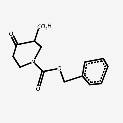 O=C(O)C1CN(C(=O)OCc2ccccc2)CCC1=O